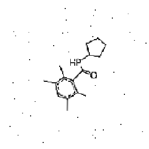 Cc1cc(C)c(C)c(C(=O)PC2CCCC2)c1C